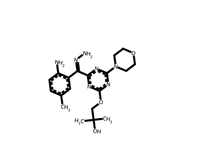 Cc1ccc(N)c(C(=NN)c2nc(OCC(C)(C)O)nc(N3CCOCC3)n2)c1